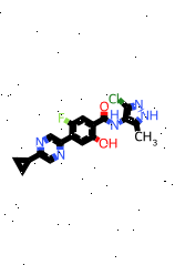 Cc1[nH]nc(Cl)c1NC(=O)c1cc(F)c(-c2cnc(C3CC3)cn2)cc1O